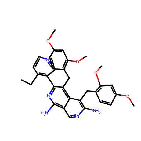 CCc1ccncc1-c1nc(N)c2cnc(N)c(Cc3ccc(OC)cc3OC)c2c1Cc1ccc(OC)cc1OC